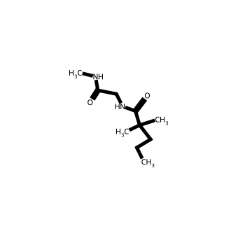 CCCC(C)(C)C(=O)NCC(=O)NC